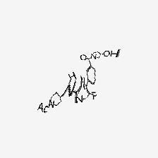 CC(=O)N1CCC(Nc2ncc(F)c(-c3cccc(C(=O)N4CC[C@@H](O)C4)c3)n2)CC1